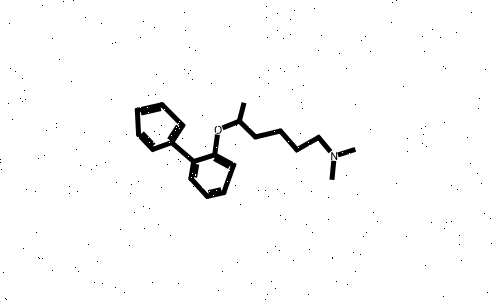 CC(CCCCN(C)C)Oc1ccccc1-c1ccccc1